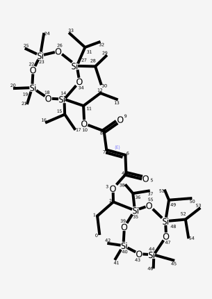 CCC(OC(=O)/C=C/C(=O)OC(CC)[Si]1(C(C)C)O[Si](C)(C)O[Si](C)(C)O[Si](C(C)C)(C(C)C)O1)[Si]1(C(C)C)O[Si](C)(C)O[Si](C)(C)O[Si](C(C)C)(C(C)C)O1